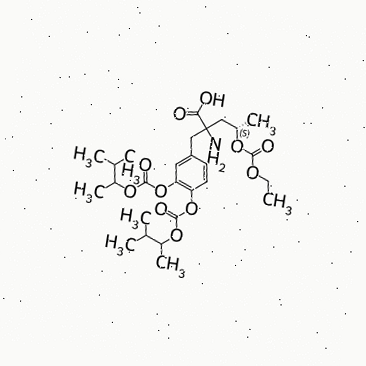 CCOC(=O)O[C@@H](C)CC(N)(Cc1ccc(OC(=O)OC(C)C(C)C)c(OC(=O)OC(C)C(C)C)c1)C(=O)O